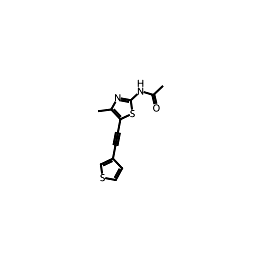 CC(=O)Nc1nc(C)c(C#Cc2ccsc2)s1